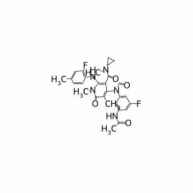 CC(=O)Nc1cc(F)cc(N(C=O)c2c(C(=O)N(C)C3CC3)c(Nc3ccc(C)cc3F)n(C)c(=O)c2C)c1